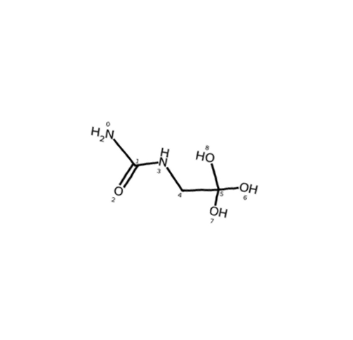 NC(=O)NCC(O)(O)O